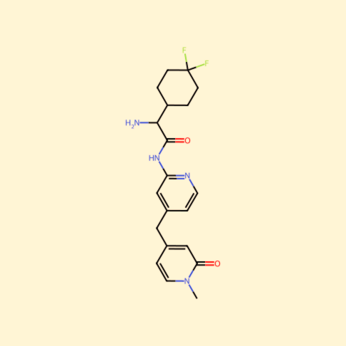 Cn1ccc(Cc2ccnc(NC(=O)C(N)C3CCC(F)(F)CC3)c2)cc1=O